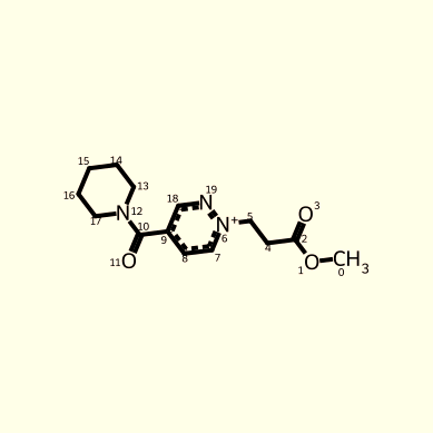 COC(=O)CC[n+]1ccc(C(=O)N2CCCCC2)cn1